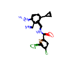 N=Cc1c(N)ccc(C2CC2)c1CNC(=O)c1cc(Cl)c(Cl)s1